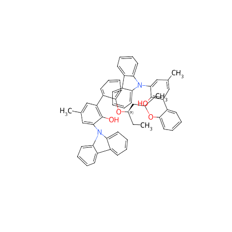 CCC(C[C@@H](CC)Oc1ccccc1-c1cc(C)cc(-n2c3ccccc3c3ccccc32)c1O)Oc1ccccc1-c1cc(C)cc(-n2c3ccccc3c3ccccc32)c1O